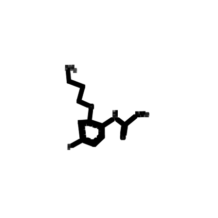 CNC(=O)Nc1ccc(F)cc1OCCCN